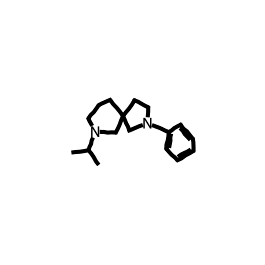 CC(C)N1CCCC2(CCN(c3ccccc3)C2)C1